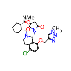 CNC(=O)[C@H]1CCCC[C@H]1C(=O)N1CCc2c(Cl)ccc(OCc3cn(C)nn3)c2[C@H]1CN1CCCC1=O